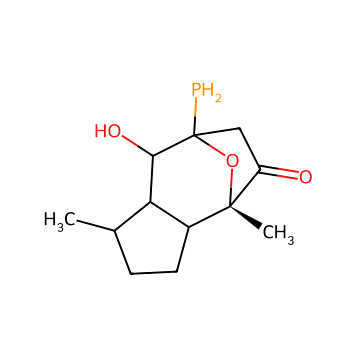 CC1CCC2C1C(O)C1(P)CC(=O)[C@@]2(C)O1